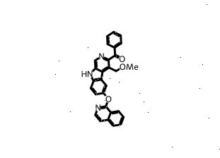 COCc1c(C(=O)c2ccccc2)ncc2[nH]c3ccc(Oc4nccc5ccccc45)cc3c12